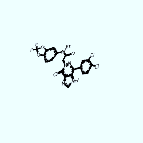 CCN(C(=O)Cn1nc(-c2ccc(Cl)c(Cl)c2)c2[nH]cnc2c1=O)c1ccc2c(c1)OC(F)(F)O2